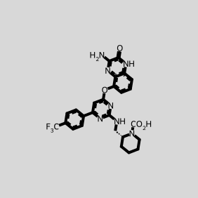 Nc1nc2c(Oc3cc(-c4ccc(C(F)(F)F)cc4)nc(NC[C@H]4CCCCN4C(=O)O)n3)cccc2[nH]c1=O